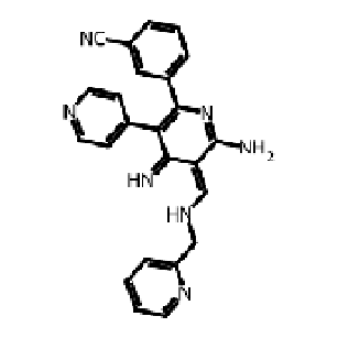 N#Cc1cccc(C2=C(c3ccncc3)C(=N)/C(=C\NCc3ccccn3)C(N)=N2)c1